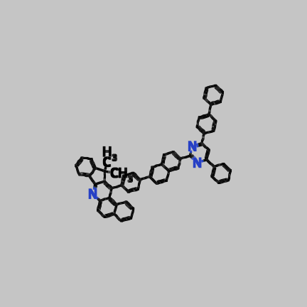 CC1(C)c2ccccc2-c2nc3ccc4ccccc4c3c(-c3ccc(-c4ccc5cc(-c6nc(-c7ccccc7)cc(-c7ccc(-c8ccccc8)cc7)n6)ccc5c4)cc3)c21